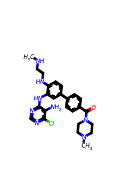 CNCCNc1ccc(-c2ccc(C(=O)N3CCN(C)CC3)cc2)cc1Nc1ncnc(Cl)c1N